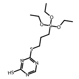 CCO[Si](CCCSc1ncnc(S)n1)(OCC)OCC